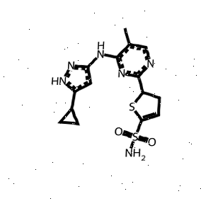 Cc1cnc(C2CC=C(S(N)(=O)=O)S2)nc1Nc1cc(C2CC2)[nH]n1